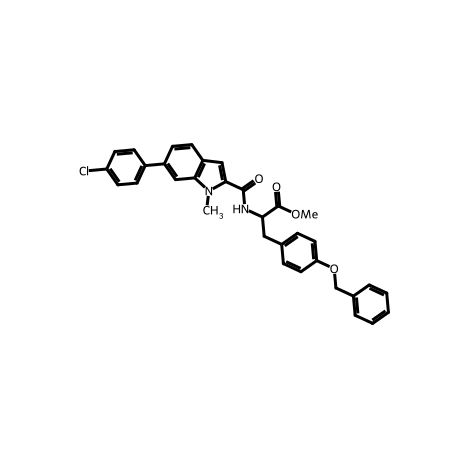 COC(=O)C(Cc1ccc(OCc2ccccc2)cc1)NC(=O)c1cc2ccc(-c3ccc(Cl)cc3)cc2n1C